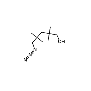 CC(C)(CO)CC(C)(C)CN=[N+]=[N-]